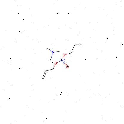 C=CCO[N+](=O)OCC=C.CN(C)C